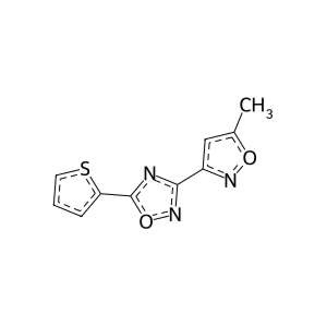 Cc1cc(-c2noc(-c3cccs3)n2)no1